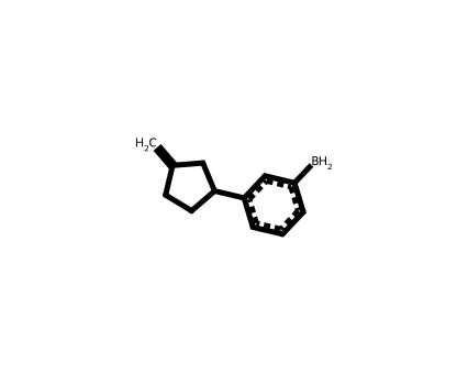 Bc1cccc(C2CCC(=C)C2)c1